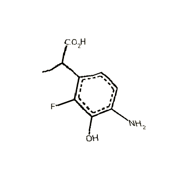 CC(C(=O)O)c1ccc(N)c(O)c1F